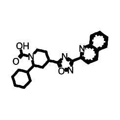 O=C(O)N1CCC(c2nc(-c3ccc4ccccc4n3)no2)CC1C1CCCCC1